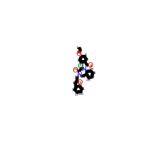 [CH2]COc1ccc(C(=O)N2CC(=O)N(Cc3cc4ccccc4o3)Cc3ccccc32)c(Cl)c1